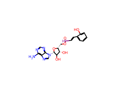 Nc1ncnc2c1ncn2[C@@H]1O[C@H](CO[PH](=O)/C=C/c2ccccc2O)[C@H](O)C1O